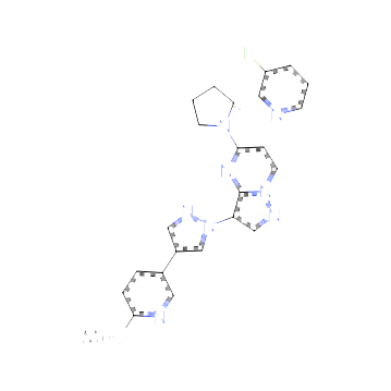 COc1ccc(-c2cnn(-c3cnn4ccc(N5CCC[C@@H]5c5ncccc5F)nc34)c2)cn1